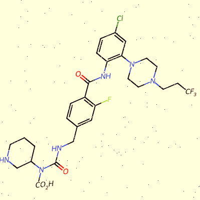 O=C(Nc1ccc(Cl)cc1N1CCN(CCC(F)(F)F)CC1)c1ccc(CNC(=O)N(C(=O)O)C2CCCNC2)cc1F